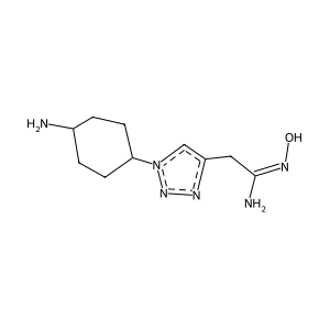 N/C(Cc1cn(C2CCC(N)CC2)nn1)=N/O